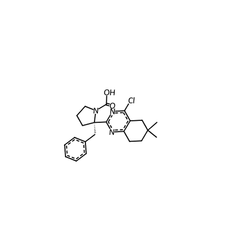 CC1(C)CCc2nc([C@@]3(Cc4ccccc4)CCCN3C(=O)O)nc(Cl)c2C1